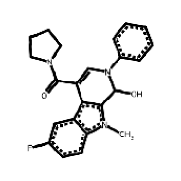 Cn1c2c(c3cc(F)ccc31)C(C(=O)N1CCCC1)=CN(c1ccccc1)C2O